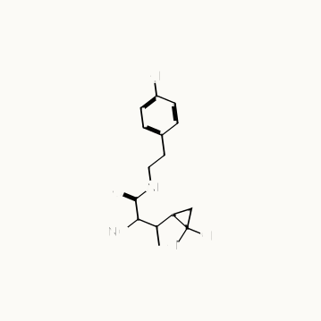 CC(C(C#N)C(=O)NCCc1ccc(Cl)cc1)[C@@]1(C)CC1(Cl)Cl